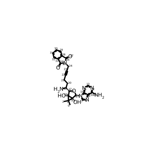 CC1(C)[C@]2(O)[C@H](n3cnc4c(N)ncnc43)O[C@H](C(N)CCC#CCN3C(=O)c4ccccc4C3=O)[C@]12O